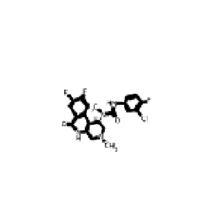 CN1Cc2[nH]c(=O)c3cc(F)c(F)cc3c2[C@H](N(C)C(=O)Nc2ccc(F)c(Cl)c2)C1